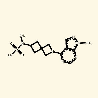 CN(C1CC2(C1)CN(c1ncnc3c1cnn3C)C2)S(N)(=O)=O